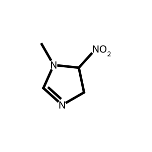 CN1C=NCC1[N+](=O)[O-]